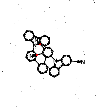 N#Cc1ccc2c(c1)c1ccccc1n2-c1ccc(C#N)c(C#N)c1-c1ccccc1-c1cccc(-n2c3ccccc3c3ccccc32)c1